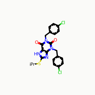 CC(C)Sc1nc2c([nH]1)c(=O)n(Cc1ccc(Cl)cc1)c(=O)n2Cc1ccc(Cl)cc1